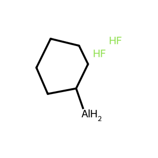 F.F.[AlH2][CH]1CCCCC1